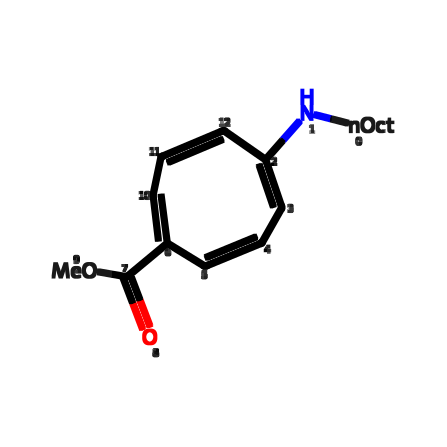 CCCCCCCCNC1=C/C=C\C(C(=O)OC)=C/C=C\1